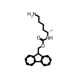 C[C@@H](CCCCN)NC(=O)OCC1c2ccccc2-c2ccccc21